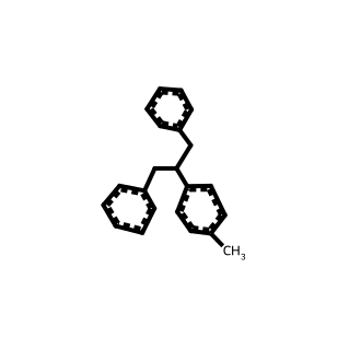 Cc1ccc([C](Cc2ccccc2)Cc2ccccc2)cc1